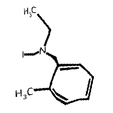 CCN(I)c1ccccc1C